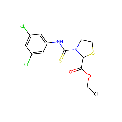 CCOC(=O)C1SCCN1C(=S)Nc1cc(Cl)cc(Cl)c1